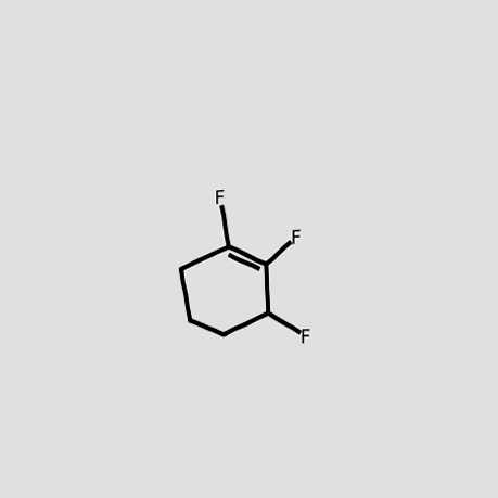 FC1=C(F)C(F)CCC1